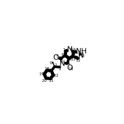 C[C@@H](CN1C(=O)c2cnc3[nH]ncc3c2C1=O)c1ccccc1